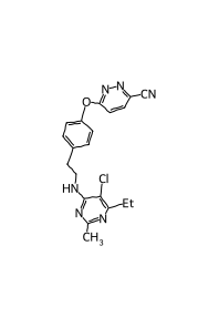 CCc1nc(C)nc(NCCc2ccc(Oc3ccc(C#N)nn3)cc2)c1Cl